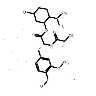 CCC(=O)N[C@H](Cc1ccc(OC)c(OC)c1)C(=O)OC1CC(C)CCC1C(C)C